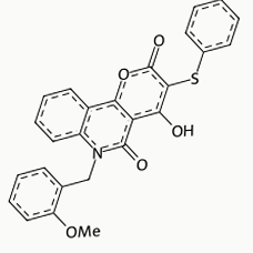 COc1ccccc1Cn1c(=O)c2c(O)c(Sc3ccccc3)c(=O)oc2c2ccccc21